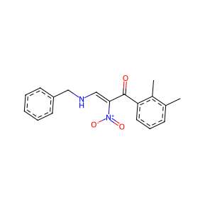 Cc1cccc(C(=O)C(=CNCc2ccccc2)[N+](=O)[O-])c1C